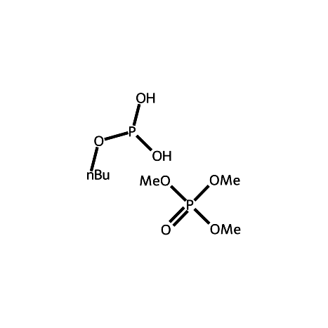 CCCCOP(O)O.COP(=O)(OC)OC